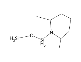 CC1CCCC(C)N1[SiH2]O[SiH3]